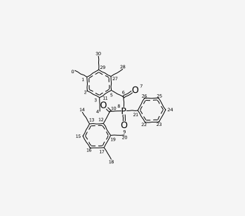 Cc1cc(C)c(C(=O)P(=O)(C(=O)c2c(C)ccc(C)c2C)c2ccccc2)c(C)c1C